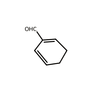 O=CC1=CCCC=C1